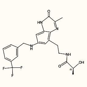 Cc1nc2c(CCNC(=O)[C@H](C)O)cc(NCc3cccc(C(F)(F)F)c3)cc2[nH]c1=O